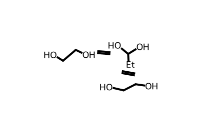 C=C.C=C.CCC(O)O.OCCO.OCCO